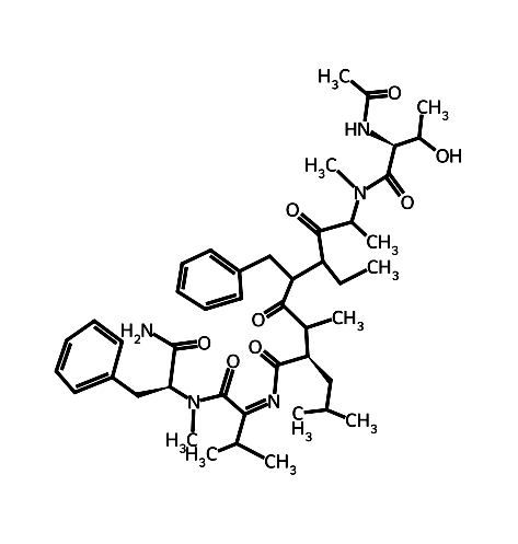 CCC(C(=O)C(C)N(C)C(=O)[C@@H](NC(C)=O)C(C)O)C(Cc1ccccc1)C(=O)C(C)[C@@H](CC(C)C)C(=O)/N=C(\C(=O)N(C)[C@@H](Cc1ccccc1)C(N)=O)C(C)C